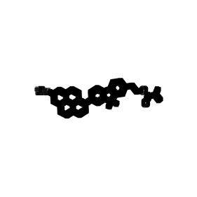 C=C(C)C(=O)OCCc1ccc2c(c1)C(C)(C)c1cc(C3=C4C=CC5=CC(C(C)(C)C)=CC6=CC=C(C=C3)C4C65)ccc1-2